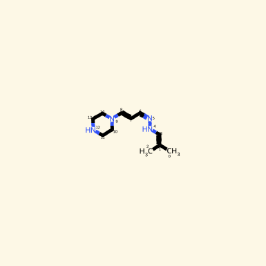 CC(C)=CN/N=C\C=C\N1CCNCC1